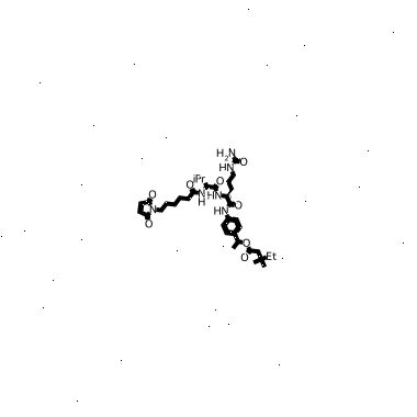 CCC(C)(C)CC(=O)OC(C)c1ccc(NC(=O)[C@H](CCCNC(N)=O)NC(=O)C(NC(=O)CCCCCN2C(=O)C=CC2=O)C(C)C)cc1